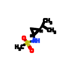 CC(C)[C@H]1C[C@H]1NS(C)(=O)=O